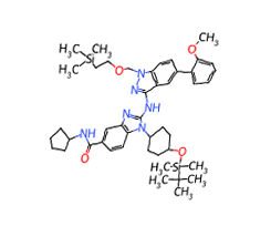 COc1ccccc1-c1ccc2c(c1)c(Nc1nc3cc(C(=O)NC4CCCC4)ccc3n1C1CCC(O[Si](C)(C)C(C)(C)C)CC1)nn2COCC[Si](C)(C)C